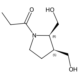 CCC(=O)N1CC[C@H](CO)[C@@H]1CO